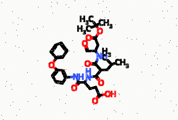 CC(C)CC(C(=O)NC(C=O)CC(=O)OC(C)(C)C)C(=O)NC(CCC(=O)O)C(=O)Nc1cccc(Oc2ccccc2)c1